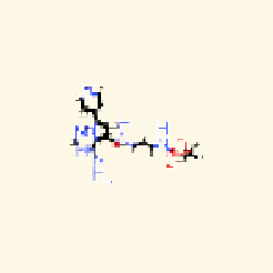 CC(C)(C)OC(=O)NCCCNC(=O)c1cc(-c2ccncc2)n2ncnc(N)c12